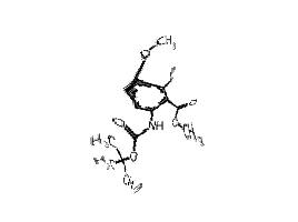 COC(=O)c1c(NC(=O)OC(C)(C)C)ccc(OC)c1F